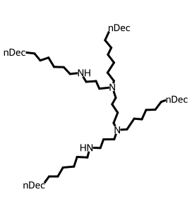 CCCCCCCCCCCCCCCCNCCCN(CCCCCCCCCCCCCCCC)CCCCN(CCCCCCCCCCCCCCCC)CCCNCCCCCCCCCCCCCCCC